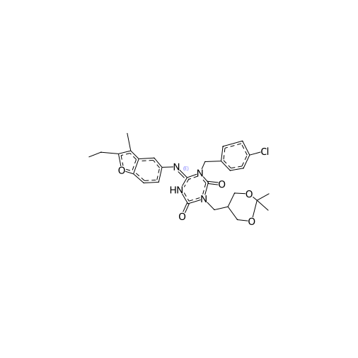 CCc1oc2ccc(/N=c3\[nH]c(=O)n(CC4COC(C)(C)OC4)c(=O)n3Cc3ccc(Cl)cc3)cc2c1C